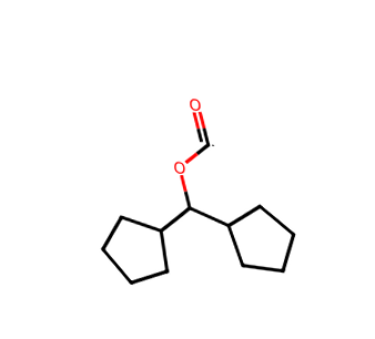 O=[C]OC(C1CCCC1)C1CCCC1